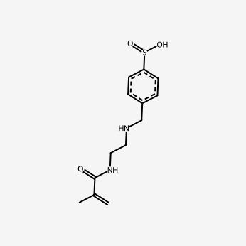 C=C(C)C(=O)NCCNCc1ccc(S(=O)O)cc1